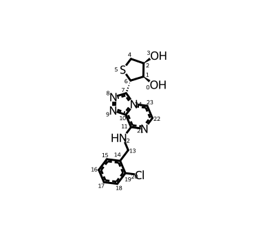 O[C@@H]1[C@H](O)CS[C@H]1c1nnc2c(NCc3ccccc3Cl)nccn12